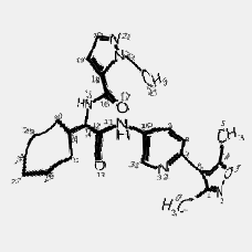 Cc1noc(C)c1-c1ccc(NC(=O)C(NC(=O)c2ccnn2C)C2CCCCCC2)cn1